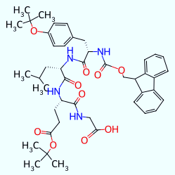 CC(C)C[C@H](NC(=O)[C@H](Cc1ccc(OC(C)(C)C)cc1)NC(=O)OCC1c2ccccc2-c2ccccc21)C(=O)N[C@@H](CCC(=O)OC(C)(C)C)C(=O)NCC(=O)O